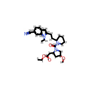 CCOC(=O)CC1CC(OC)CN1C(=O)N1CCCCC1CCc1cc2ccc(C#N)cc2n1CC